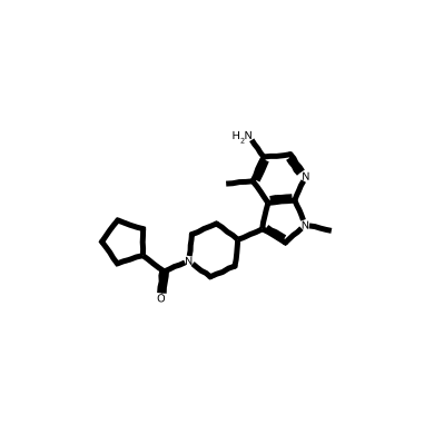 Cc1c(N)cnc2c1c(C1CCN(C(=O)C3CCCC3)CC1)cn2C